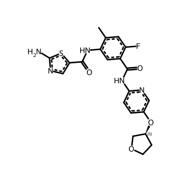 Cc1cc(F)c(C(=O)Nc2ccc(O[C@H]3CCOC3)cn2)cc1NC(=O)c1cnc(N)s1